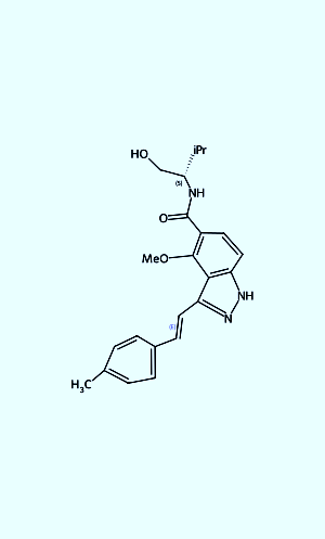 COc1c(C(=O)N[C@H](CO)C(C)C)ccc2[nH]nc(/C=C/c3ccc(C)cc3)c12